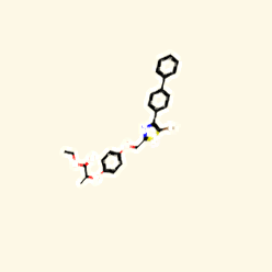 CCOC(=O)C(C)Oc1ccc(OCc2nc(-c3ccc(-c4ccccc4)cc3)c(Br)s2)cc1